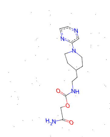 NC(=O)COC(=O)NCCC1CCN(c2cnccn2)CC1